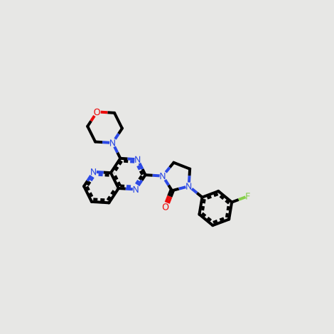 O=C1N(c2cccc(F)c2)CCN1c1nc(N2CCOCC2)c2ncccc2n1